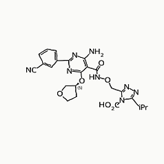 CC(C)c1nnc(CONC(=O)c2c(N)nc(-c3cccc(C#N)c3)nc2O[C@H]2CCOC2)n1C(=O)O